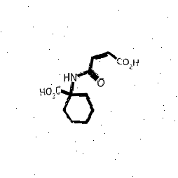 O=C(O)/C=C\C(=O)NC1(C(=O)O)CCCCC1